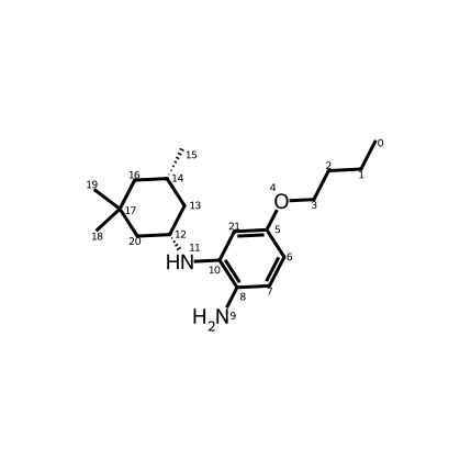 CCCCOc1ccc(N)c(N[C@H]2C[C@@H](C)CC(C)(C)C2)c1